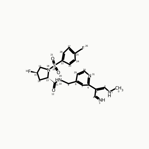 CN/C=C(\C=N)c1cc(CNC(=O)[C@@H]2C[C@@H](F)CN2S(=O)(=O)c2ccc(F)cc2)ccn1